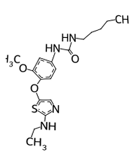 CCCCCNC(=O)Nc1ccc(Oc2cnc(NCC)s2)c(OC)c1